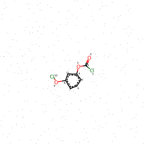 O=C(Cl)Oc1cccc(OCl)c1